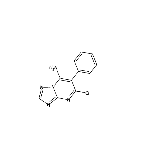 Nc1c(-c2ccccc2)c(Cl)nc2ncnn12